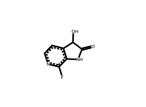 O=C1Nc2c(ccnc2F)C1O